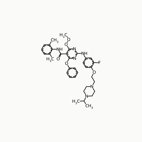 COOc1nc(Nc2ccc(OCCN3CCN(C(C)C)CC3)c(F)c2)nc(Oc2ccccc2)c1C(=O)Nc1c(C)cccc1C